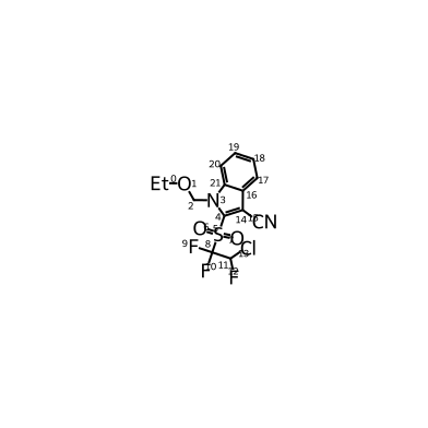 CCOCn1c(S(=O)(=O)C(F)(F)C(F)Cl)c(C#N)c2ccccc21